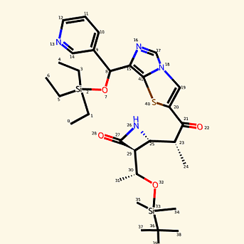 CC[Si](CC)(CC)OC(c1cccnc1)c1ncn2cc(C(=O)[C@H](C)[C@H]3NC(=O)[C@@H]3[C@@H](C)O[Si](C)(C)C(C)(C)C)sc12